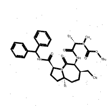 CC[C@@H](C(=O)N[C@@H]1C(=O)N2[C@@H](CC[C@@H]1CC#N)CC[C@H]2C(=O)NC(c1ccccc1)c1ccccc1)N(C)C(=O)OC(C)(C)C